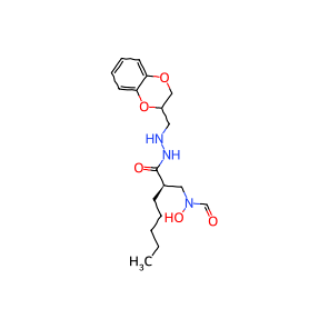 CCCCC[C@H](CN(O)C=O)C(=O)NNCC1COc2ccccc2O1